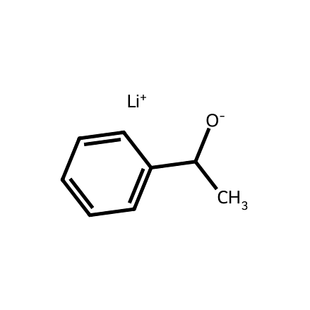 CC([O-])c1ccccc1.[Li+]